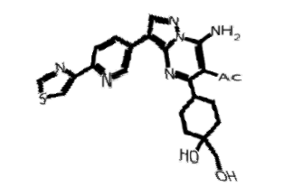 CC(=O)c1c(C2CCC(O)(CO)CC2)nc2c(-c3ccc(-c4cscn4)nc3)cnn2c1N